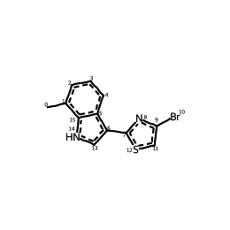 Cc1cccc2c(-c3nc(Br)cs3)c[nH]c12